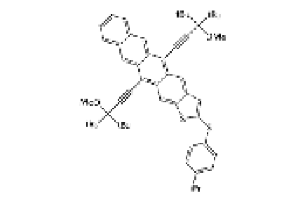 COC(C#Cc1c2cc3ccccc3cc2c(C#CC(OC)(C(C)(C)C)C(C)(C)C)c2cc3sc(Sc4ccc(C(C)C)cc4)cc3cc12)(C(C)(C)C)C(C)(C)C